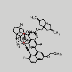 C=C1CN2CC(=C)CC2(COc2nc3c4c(nc(-c5cc(OCOC)cc6ccc(F)c(C#C[Si](C(C)C)(C(C)C)C(C)C)c56)c(F)c4n2)O[C@@H](C)[C@@H]2[C@@H]4CC[C@H](CN32)N4C(=O)OC(C)(C)C)C1